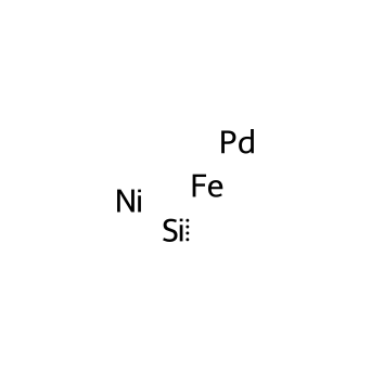 [Fe].[Ni].[Pd].[Si]